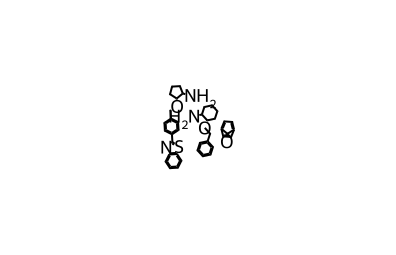 NC1CCCC1OCc1ccc(-c2nc3ccccc3s2)cc1.NC1CCCCC1OCc1ccccc1.O=C1C2=CC=C1C=C2